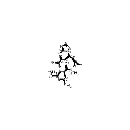 COc1cc(C(=O)N(C)[C@H]2C/C2=C/c2cc(C(F)F)nc3ncnn23)cc(C)n1